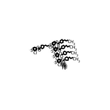 CCCCC1CCC(C(=O)Oc2ccc([S])c(Cl)c2)CC1.CCCCC1CCC(C(=O)Oc2ccc([S])c(Cl)c2)CC1.CCCCC1CCC(C(=O)Oc2ccc([S])c(Cl)c2)CC1.CCCCC1CCC(C(=O)Oc2ccc([S])c(Cl)c2)CC1.CCCCC1CCC(C(=O)Oc2ccc([S])c(Cl)c2)CC1.F.F.F.F.F